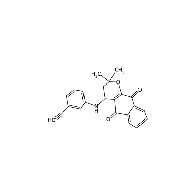 C#Cc1cccc(NC2CC(C)(C)OC3=C2C(=O)c2ccccc2C3=O)c1